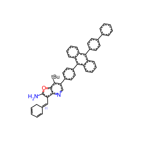 CC(C)(C)c1c(-c2ccc(-c3c4ccccc4c(-c4ccc(-c5ccccc5)cc4)c4ccccc34)cc2)cnc2c(/C=C3/C=CC=CC3)c(N)oc12